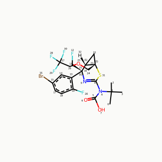 CC(C)(C)N(C(=O)O)C1=N[C@](CF)(c2cc(Br)ccc2F)[C@@H]2C[C@]2(COCC(F)(F)F)S1